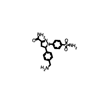 NCc1ccc(C2CC(C(N)=O)=NN2c2ccc(S(N)(=O)=O)cc2)cc1